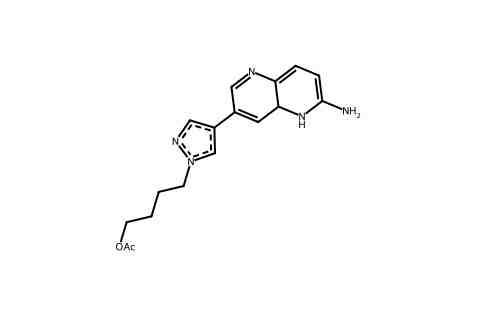 CC(=O)OCCCCn1cc(C2=CC3NC(N)=CC=C3N=C2)cn1